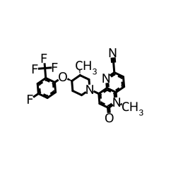 C[C@@H]1CN(c2cc(=O)n(C)c3ccc(C#N)nc23)CC[C@H]1Oc1ccc(F)cc1C(F)(F)F